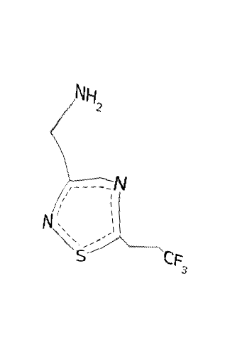 NCc1nsc(C(F)(F)F)n1